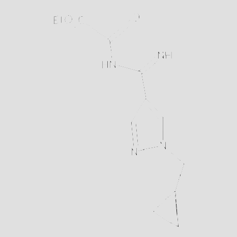 CCOC(=O)C(=O)NC(=N)c1cnn(CC2CC2)c1